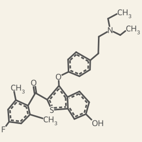 CCN(CC)CCc1ccc(Oc2c(C(=O)c3c(C)cc(F)cc3C)sc3cc(O)ccc23)cc1